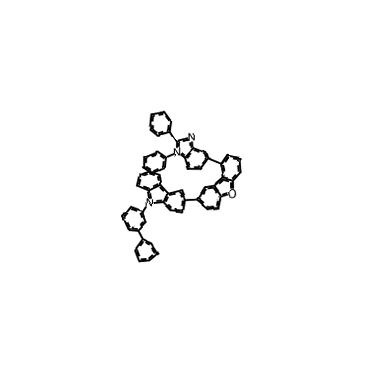 c1ccc(-c2cccc(-n3c4ccccc4c4cc(-c5ccc6oc7cccc(-c8ccc9c(c8)nc(-c8ccccc8)n9-c8ccccc8)c7c6c5)ccc43)c2)cc1